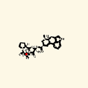 CC(C)[C@H]1C(=O)N2CCC[C@H]2[C@]2(OS(C)(=O)=O)O[C@](NC(=O)[C@@H]3C=C4c5cccc6[nH]cc(c56)C[C@@H]4N(C)C3)(C(C)C)C(=O)N12